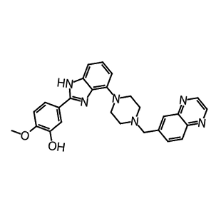 COc1ccc(-c2nc3c(N4CCN(Cc5ccc6nccnc6c5)CC4)cccc3[nH]2)cc1O